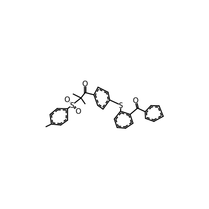 Cc1ccc(S(=O)(=O)C(C)(C)C(=O)c2ccc(Sc3ccccc3C(=O)c3ccccc3)cc2)cc1